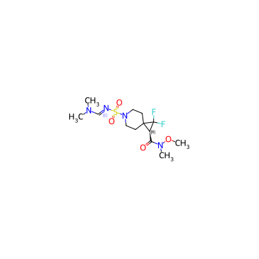 CON(C)C(=O)[C@@H]1C(F)(F)C12CCN(S(=O)(=O)/N=C/N(C)C)CC2